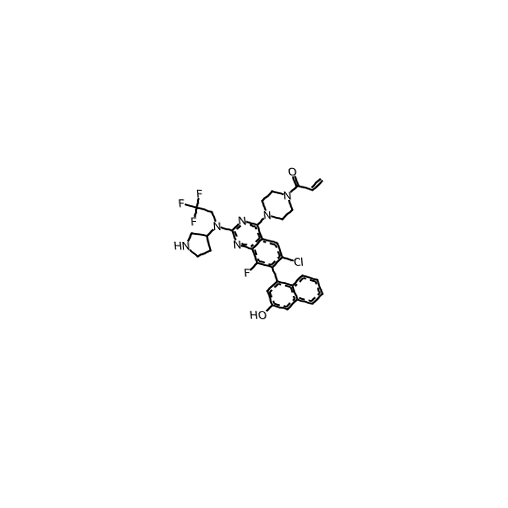 C=CC(=O)N1CCN(c2nc(N(CC(F)(F)F)C3CCNC3)nc3c(F)c(-c4cc(O)cc5ccccc45)c(Cl)cc23)CC1